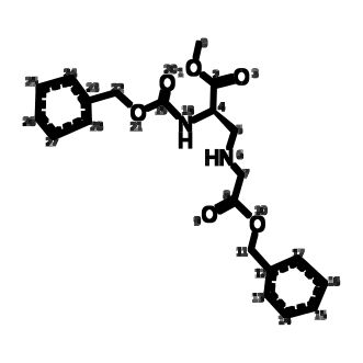 COC(=O)[C@@H](CNCC(=O)OCc1ccccc1)NC(=O)OCc1ccccc1